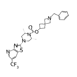 C[C@@H]1CN(c2nc3ncc(C(F)(F)F)cc3s2)C[C@H](C)N1C(=O)OC1CC2(C1)CN(Cc1ccccc1)C2